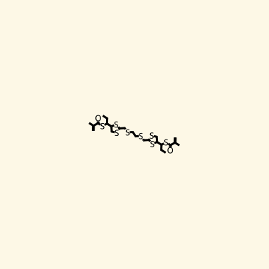 C=C(C)C(=O)SC(CC)C1CSC(CSCCSCC2SCC(C(CC)SC(=O)C(=C)C)S2)S1